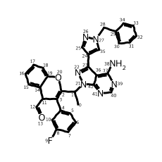 CC(C1=C(c2cccc(F)c2)C(C=O)c2ccccc2O1)n1nc(-c2cnn(Cc3ccccc3)c2)c2c(N)ncnc21